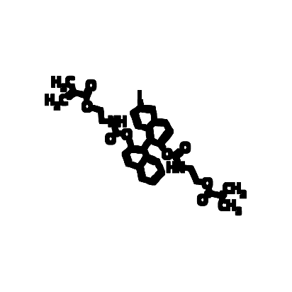 C=C(C)C(=O)OCCNC(=O)Oc1ccc2ccccc2c1-c1c(OC(=O)NCCOC(=O)C(=C)C)ccc2cc(I)ccc12